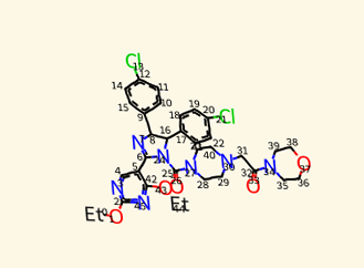 CCOc1ncc(C2=NC(c3ccc(Cl)cc3)C(c3ccc(Cl)cc3)N2C(=O)N2CCN(CC(=O)N3CCOCC3)CC2)c(OCC)n1